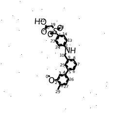 COc1cc(-c2cccc(CNc3ccc(S(=O)(=O)CC(=O)O)cc3)c2)ccc1C